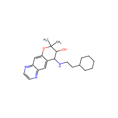 CC1(C)Oc2cc3nccnc3cc2C(NCCC2CCCCC2)C1O